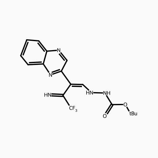 CC(C)(C)OC(=O)NN/C=C(\C(=N)C(F)(F)F)c1cnc2ccccc2n1